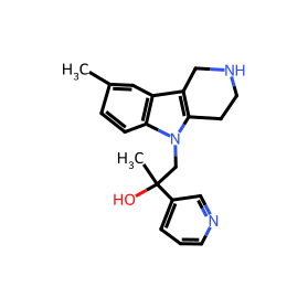 Cc1ccc2c(c1)c1c(n2CC(C)(O)c2cccnc2)CCNC1